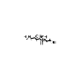 NCCCCNCCCO.O=NO